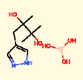 CC(C)(O)C(C)(O)Cc1cn[nH]c1.OB(O)O